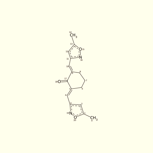 Cc1cc(/C=C2\CCC/C(=C\c3cc(C)on3)C2=O)no1